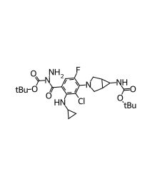 CC(C)(C)OC(=O)NC1C2CN(c3c(F)cc(C(=O)N(N)C(=O)OC(C)(C)C)c(NC4CC4)c3Cl)CC21